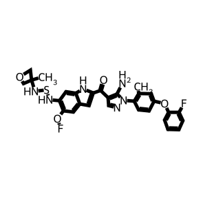 Cc1cc(Oc2ccccc2F)ccc1-n1ncc(C(=O)c2cc3cc(OF)c(NSNC4(C)COC4)cc3[nH]2)c1N